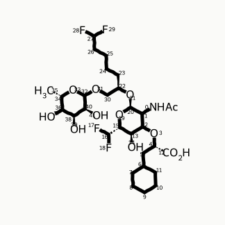 CC(=O)NC1C(O[C@@H](CC2CCCCC2)C(=O)O)[C@@H](O)[C@H](C(F)F)O[C@H]1O[C@H](CCCCC(F)F)COC1O[C@@H](C)C(O)[C@H](O)[C@@H]1O